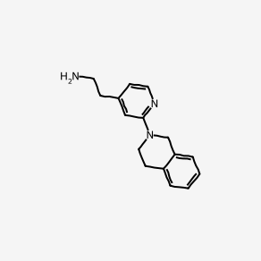 NCCc1ccnc(N2CCc3ccccc3C2)c1